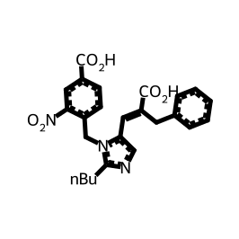 CCCCc1ncc(/C=C(\Cc2ccccc2)C(=O)O)n1Cc1ccc(C(=O)O)cc1[N+](=O)[O-]